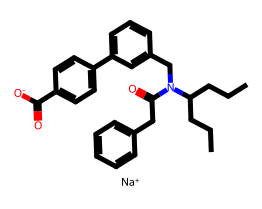 CCCC(CCC)N(Cc1cccc(-c2ccc(C(=O)[O-])cc2)c1)C(=O)Cc1ccccc1.[Na+]